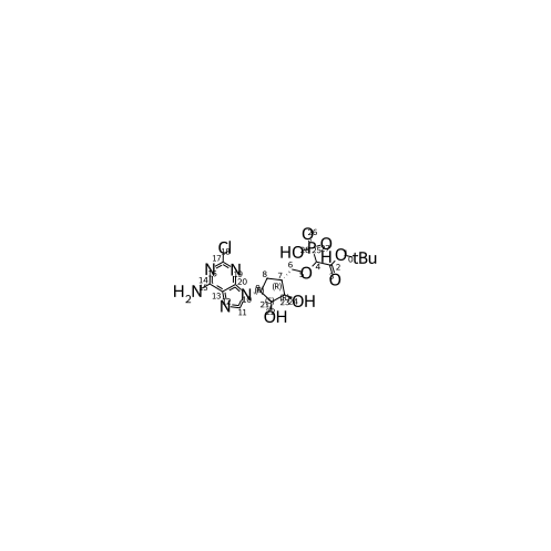 CC(C)(C)OC(=O)C(OC[C@H]1C[C@@H](n2cnc3c(N)nc(Cl)nc32)[C@H](O)[C@@H]1O)P(=O)(O)O